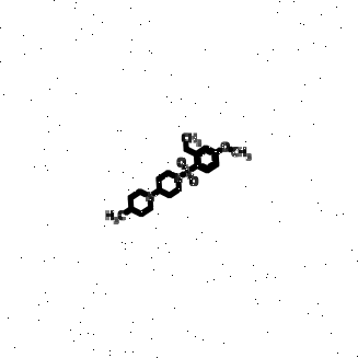 CCc1cc(OC)ccc1S(=O)(=O)N1CCC(N2CCC(C)CC2)CC1